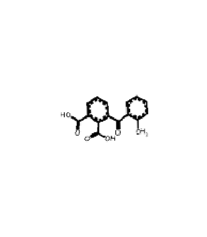 Cc1ccccc1C(=O)c1cccc(C(=O)O)c1C(=O)O